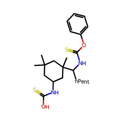 CCCCCC(NC(=S)Oc1ccccc1)C1(C)CC(NC(O)=S)CC(C)(C)C1